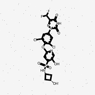 O=c1[nH]c(=O)n(-c2cc(Cl)c(Oc3cc(S(=O)(=O)N[C@H]4C[C@@H](O)C4)c(O)cn3)c(Cl)c2)nc1C(F)F